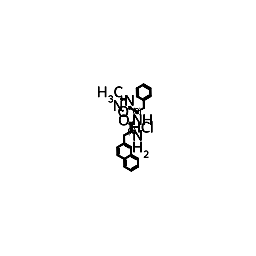 Cc1noc([C@@H](Cc2ccccc2)NC(=O)[C@H](N)Cc2ccc3ccccc3c2)n1.Cl